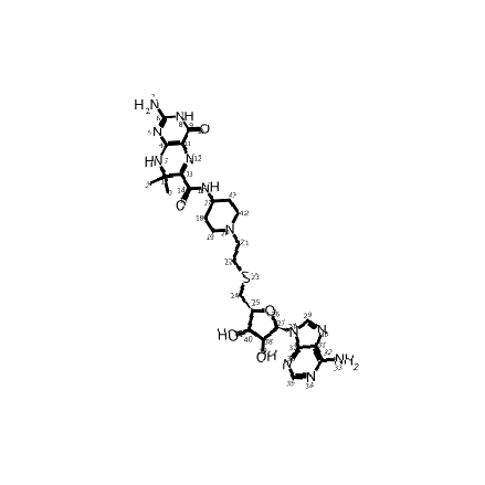 CC1(C)Nc2nc(N)[nH]c(=O)c2N=C1C(=O)NC1CCN(CCSC[C@H]2O[C@@H](n3cnc4c(N)ncnc43)C(O)C2O)CC1